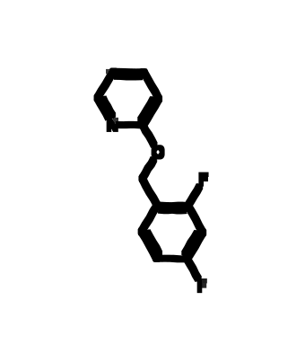 Fc1ccc(COc2cc[c]cn2)c(F)c1